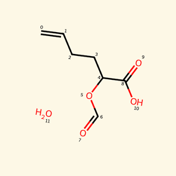 C=CCCC(OC=O)C(=O)O.O